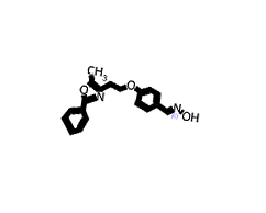 Cc1oc(-c2ccccc2)nc1CCOc1ccc(/C=N/O)cc1